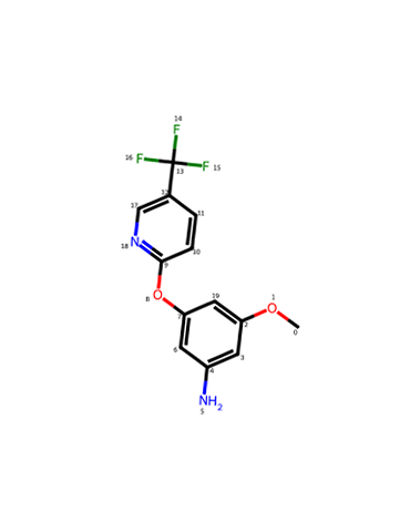 COc1cc(N)cc(Oc2ccc(C(F)(F)F)cn2)c1